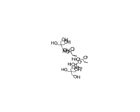 C=CC(=O)O.C=CC(=O)O.C=CC(=O)O.OCC(CO)(CO)CO.OCC(CO)(CO)CO